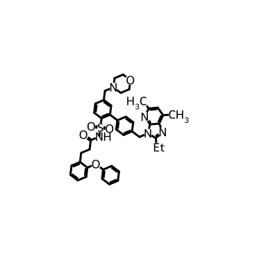 CCc1nc2c(C)cc(C)nc2n1Cc1ccc(-c2cc(CN3CCOCC3)ccc2S(=O)(=O)NC(=O)CCc2ccccc2Oc2ccccc2)cc1